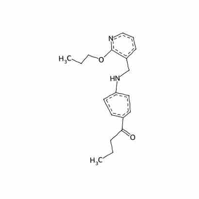 CCCOc1ncccc1CNc1ccc(C(=O)CCC)cc1